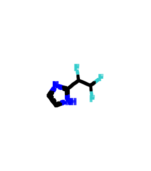 FC(F)C(F)c1ncc[nH]1